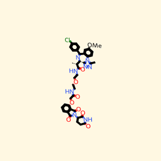 COc1ccc2c(c1)C(c1ccc(Cl)cc1)=N[C@@H]([C@@H](C)C(=O)NCCOCCNC(=O)COc1cccc3c1C(=O)N(C1CCC(=O)NC1=O)C3=O)c1nnc(C)n1-2